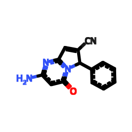 N#CC1=Cc2nc(N)cc(=O)n2C1c1ccccc1